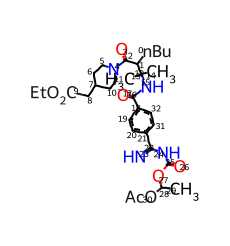 CCCCC(C(=O)N1CCC(CC(=O)OCC)CC1)C(C)(C)NC(=O)c1ccc(C(=N)NC(=O)OC(C)OC(C)=O)cc1